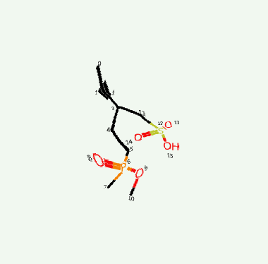 CC#CC(CCP(C)(=O)OC)CS(=O)(=O)O